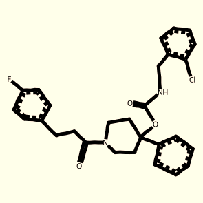 O=C(NCc1ccccc1Cl)OC1(c2ccccc2)CCN(C(=O)CCc2ccc(F)cc2)CC1